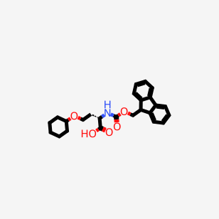 O=C(N[C@@H](CCOC1CCCCC1)C(=O)O)OCC1c2ccccc2-c2ccccc21